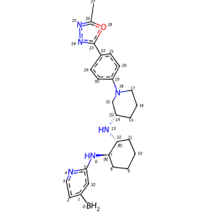 Bc1ccnc(N[C@@H]2CCCC[C@H]2N[C@H]2CCCN(c3ccc(-c4nnc(C)o4)cc3)C2)c1